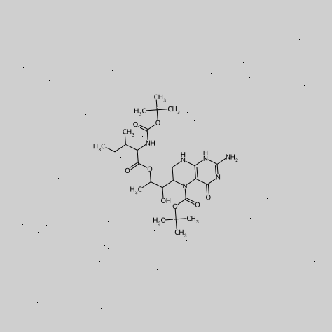 CCC(C)C(NC(=O)OC(C)(C)C)C(=O)OC(C)C(O)C1CNc2[nH]c(N)nc(=O)c2N1C(=O)OC(C)(C)C